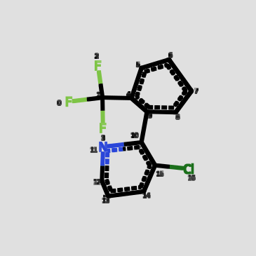 FC(F)(F)c1ccccc1-c1nc[c]cc1Cl